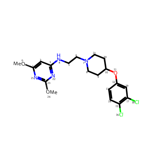 COc1cc(NCCN2CCC(Oc3ccc(Cl)c(Cl)c3)CC2)nc(OC)n1